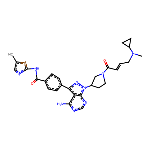 CN(CC=CC(=O)N1CCC(n2nc(-c3ccc(C(=O)Nc4ncc(C#N)s4)cc3)c3c(N)ncnc32)C1)C1CC1